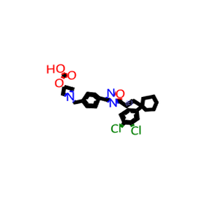 O=C(O)OC1CN(Cc2ccc(-c3noc(/C=C/C4(c5ccc(Cl)c(Cl)c5)CCCCC4)n3)cc2)C1